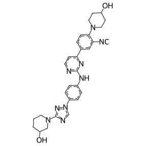 [C-]#[N+]c1cc(-c2ccnc(Nc3ccc(-n4cnc(N5CCCC(O)C5)n4)cc3)n2)ccc1N1CCC(O)CC1